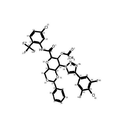 CC(=O)OC1C(C(=O)Nc2cc(Cl)ccc2C(F)(F)F)OC2COC(c3ccccc3)OC2C1n1cc(-c2cc(F)c(Cl)c(F)c2)nn1